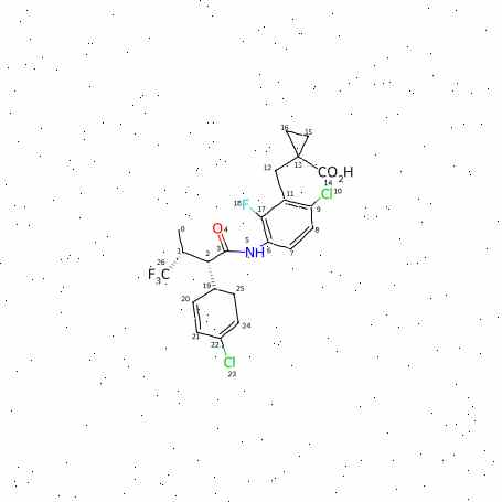 C[C@H]([C@H](C(=O)Nc1ccc(Cl)c(CC2(C(=O)O)CC2)c1F)C1C=CC(Cl)=CC1)C(F)(F)F